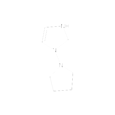 C1=CN(N2CCCC2)CN1